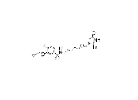 O=C1CN(COCCCCCNC2(c3ccc(F)c(OCC4CC4)c3)CC2)C(=O)N1